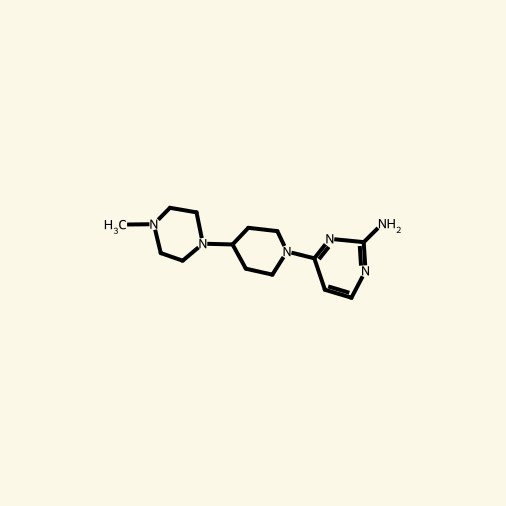 CN1CCN(C2CCN(c3ccnc(N)n3)CC2)CC1